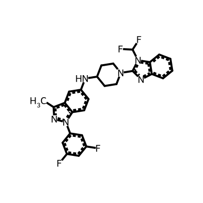 Cc1nn(-c2cc(F)cc(F)c2)c2ccc(NC3CCN(c4nc5ccccc5n4C(F)F)CC3)cc12